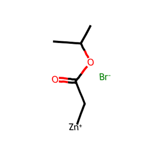 CC(C)OC(=O)[CH2][Zn+].[Br-]